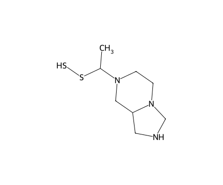 CC(SS)N1CCN2CNCC2C1